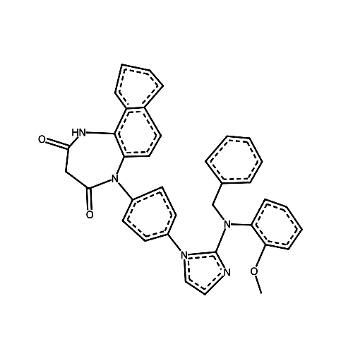 COc1ccccc1N(Cc1ccccc1)c1nccn1-c1ccc(N2C(=O)CC(=O)Nc3c2ccc2ccccc32)cc1